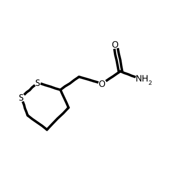 NC(=O)OCC1CCCSS1